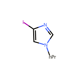 CCCn1cnc(I)c1